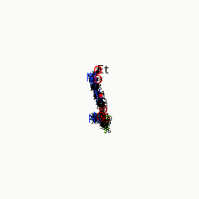 CCOCCn1ncn(-c2ccc(N3CCN(c4ccc(OC[C@@H]5CO[C@@](Cn6cncn6)(c6ccc(F)cc6F)O5)cc4)CC3)cc2)c1=O